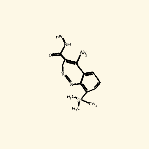 CCCNC(=O)c1nnc2[c]([Sn]([CH3])([CH3])[CH3])cccc2c1N